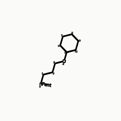 CCCCCCCCO[C]1CCCCC1